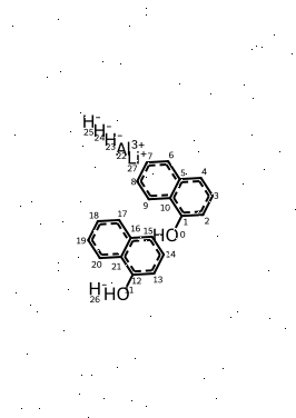 Oc1cccc2ccccc12.Oc1cccc2ccccc12.[Al+3].[H-].[H-].[H-].[H-].[Li+]